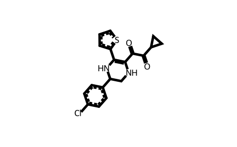 O=C(C(=O)C1CC1)C1=C(c2cccs2)NC(c2ccc(Cl)cc2)CN1